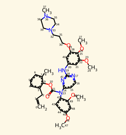 C=CCc1cccc(C)c1OC(=O)N(c1ccnc(Nc2cc(OC)c(OC)c(OCCCN3CCN(C)CC3)c2)n1)c1ccc(OC)cc1OC